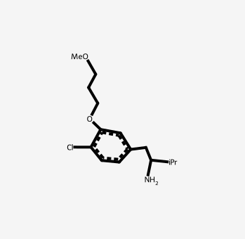 COCCCOc1cc(CC(N)C(C)C)ccc1Cl